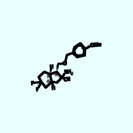 COc1ccc(COC[C@H]2[C@@H]3CCC(F)(F)C[C@H]3CC2(N)C#N)cc1